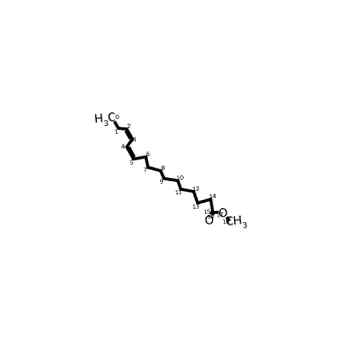 CC/C=C\C=C/CCCCCCCCCC(=O)OC